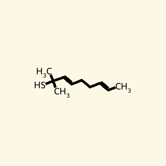 C/C=C/CC/C=C/C(C)(C)S